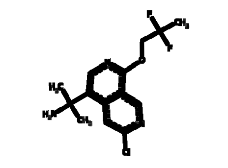 CC(F)(F)COc1ncc(C(C)(C)N)c2cc(Cl)ncc12